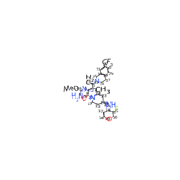 C=C(/C(C)=C(\N=C(/N)OC)C(=O)N1CCC(NC2CCOCC2F)CC1)N1CCc2ccc(C(F)(F)F)cc2C1